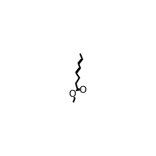 C/C=C/C=C/CCC(=O)OCC